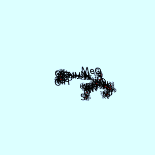 COc1ccc(COC(=O)c2nc(N(CCCCCn3cc(CCCCCCCNC(=O)COc4cccc5c4C(=O)N(C4CCC(=O)NC4=O)C5=O)nn3)c3cc(C)c(/N=c4\sc5ccccc5n4COCC[Si](C)(C)C)nn3)ccc2-c2cnn(CC34CC5(C)CC(C)(C3)CC(OCCN(C)C)(C5)C4)c2C)cc1